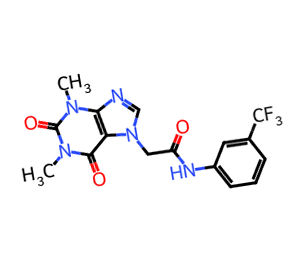 Cn1c(=O)c2c(ncn2CC(=O)Nc2cccc(C(F)(F)F)c2)n(C)c1=O